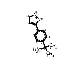 CC(C)(C)c1ccc(C2=CCN=N2)cc1